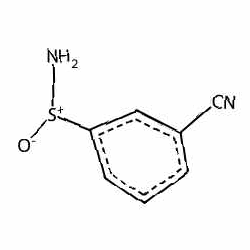 N#Cc1cccc([S+](N)[O-])c1